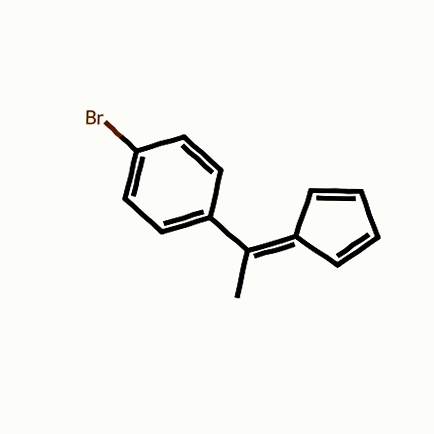 CC(=C1C=CC=C1)c1ccc(Br)cc1